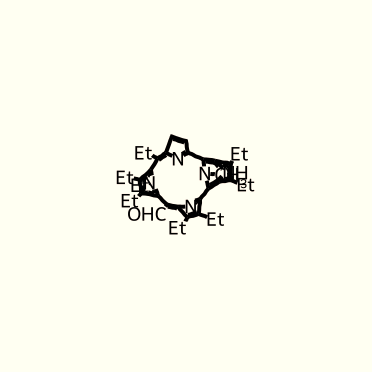 CCC1=C(CC)C2=C(C=O)c3c(CC)c(CC)c(n3CC)C(CC)=C3C=CC(=N3)C3=c4[nH]c(c(CC)c4CC)=C(C1=N2)N3C